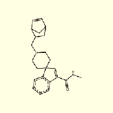 CNC(=O)C1=CC2(CCN(CC3CC4C=CC3C4)CC2)c2ccccc21